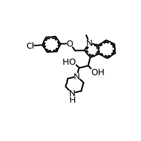 Cn1c(COc2ccc(Cl)cc2)c(C(O)C(O)N2CCNCC2)c2ccccc21